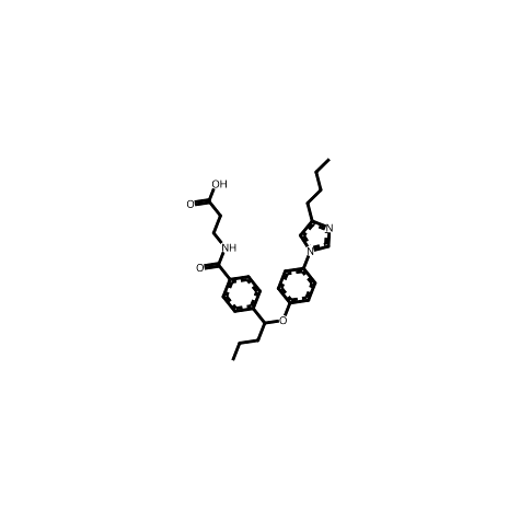 CCCCc1cn(-c2ccc(OC(CCC)c3ccc(C(=O)NCCC(=O)O)cc3)cc2)cn1